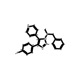 CB(Cc1ccccc1)n1nnc(-c2ccc(F)cc2)c1-c1ccncc1